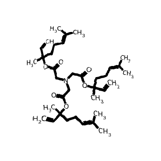 C=CC(C)(CCC=C(C)C)OC(=O)CN(CC(=O)OC(C)(C=C)CCC=C(C)C)CC(=O)OC(C)(C=C)CCC=C(C)C